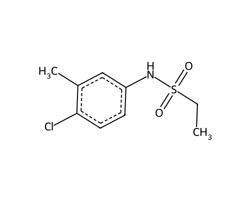 CCS(=O)(=O)Nc1ccc(Cl)c(C)c1